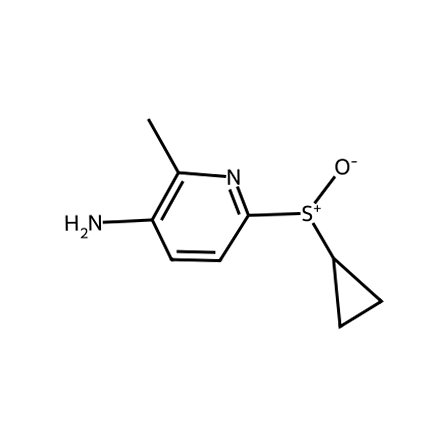 Cc1nc([S+]([O-])C2CC2)ccc1N